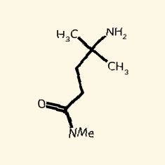 CNC(=O)CCC(C)(C)N